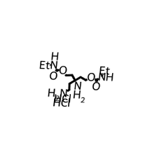 CCNC(=O)OCCC(N)(CCN)CCOC(=O)NCC.Cl.Cl